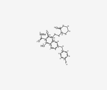 CNC(=O)c1c(O)c2ncc(Cc3ccc(F)cc3)cc2n(CCN2CCCCC2=O)c1=O